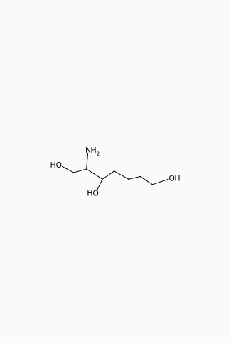 NC(CO)C(O)CCCCO